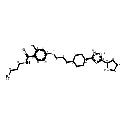 Cc1cc(OCCCC2CCN(c3noc(C4CCCO4)n3)CC2)ccc1C(=O)NCCCO